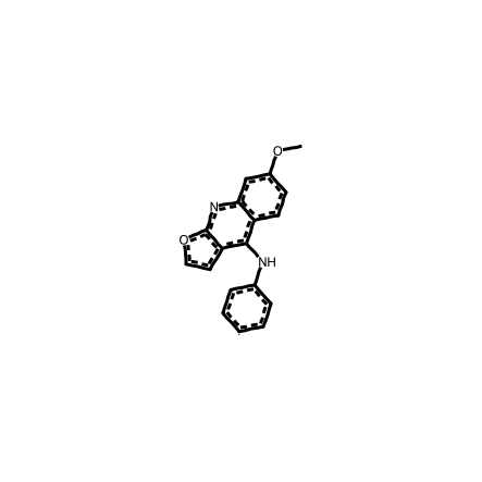 COc1ccc2c(Nc3cc[c]cc3)c3ccoc3nc2c1